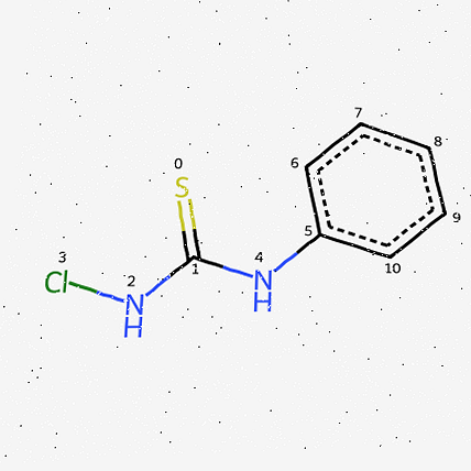 S=C(NCl)Nc1ccccc1